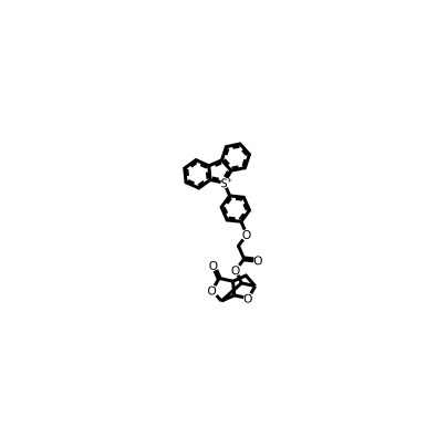 O=C(COc1ccc(-[s+]2c3ccccc3c3ccccc32)cc1)OC1C2CC3C(=O)OC1C3O2